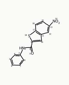 O=C(Nc1ccccc1)c1cc2cc([N+](=O)[O-])ccc2s1